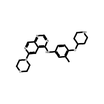 Cc1cc(Nc2ncnc3cnc(N4CCOCC4)cc23)ccc1OC1CCNCC1